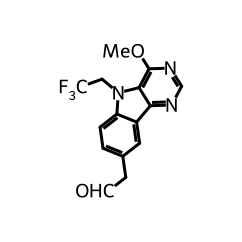 COc1ncnc2c3cc(CC=O)ccc3n(CC(F)(F)F)c12